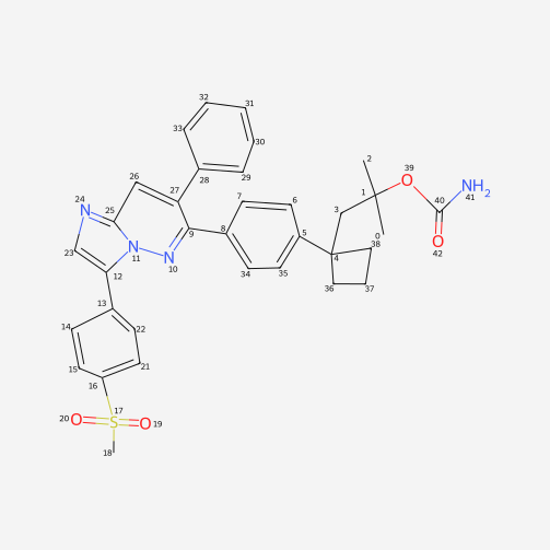 CC(C)(CC1(c2ccc(-c3nn4c(-c5ccc(S(C)(=O)=O)cc5)cnc4cc3-c3ccccc3)cc2)CCC1)OC(N)=O